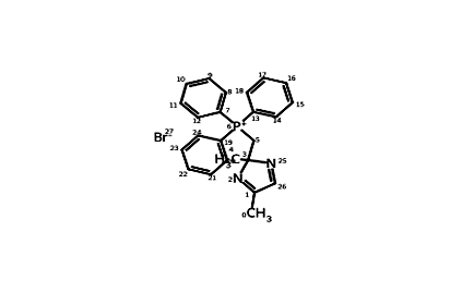 CC1=NC(C)(C[P+](c2ccccc2)(c2ccccc2)c2ccccc2)N=C1.[Br-]